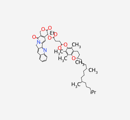 CC[C@@]1(OC(=O)CCC(=O)Oc2c(C)c(C)c3c(c2C)CC[C@@](C)(CCC[C@H](C)CCC[C@H](C)CCCC(C)C)O3)C(=O)OCc2c1cc1n(c2=O)Cc2cc3ccccc3nc2-1